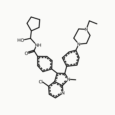 CCN1CCN(c2ccc(-c3c(-c4ccc(C(=O)NC(O)C5CCCC5)cc4)c4c(Cl)ccnc4n3C)cc2)CC1